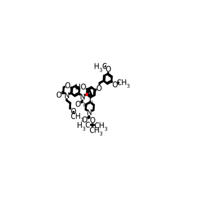 COCCCN1C(=O)COc2ccc(N(C(=O)[C@H]3CN(C(=O)OC(C)(C)C)CC[C@@H]3c3cc(O)cc(OCc4cc(OC)cc(OC)c4)c3)C3CC3)cc21